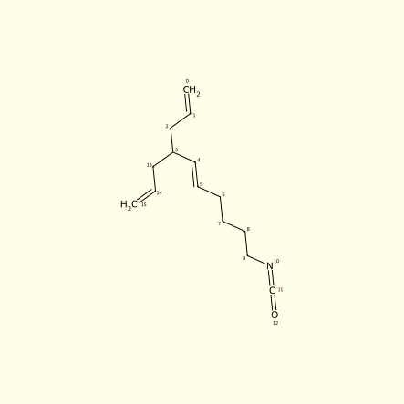 C=CCC(C=CCCCCN=C=O)CC=C